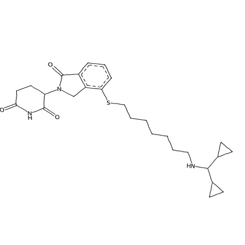 O=C1CCC(N2Cc3c(SCCCCCCCNC(C4CC4)C4CC4)cccc3C2=O)C(=O)N1